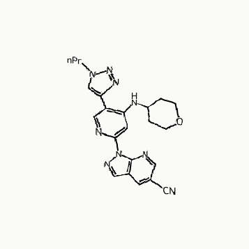 CCCn1cc(-c2cnc(-n3ncc4cc(C#N)cnc43)cc2NC2CCOCC2)nn1